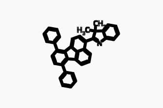 CC1(C)C(c2ccc3c4c(cccc24)-c2c(-c4ccccc4)ccc(-c4ccccc4)c2-3)=Nc2ccccc21